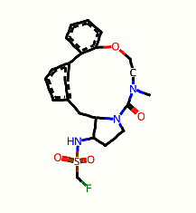 CN1CCOc2ccccc2-c2cccc(c2)CC2C(NS(=O)(=O)CF)CCN2C1=O